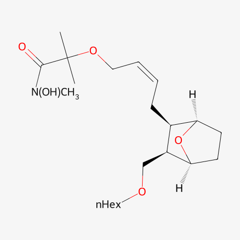 CCCCCCOC[C@H]1[C@@H](C/C=C\COC(C)(C)C(=O)N(C)O)[C@H]2CC[C@@H]1O2